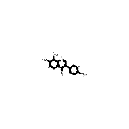 COc1ccc(-c2coc3c(OC(C)=O)c(OC(C)=O)ccc3c2=O)cc1